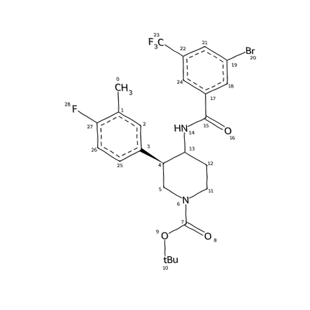 Cc1cc([C@@H]2CN(C(=O)OC(C)(C)C)CCC2NC(=O)c2cc(Br)cc(C(F)(F)F)c2)ccc1F